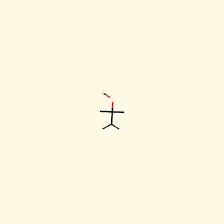 CCC(OC(C)=O)C(C)(C)O[SiH3]